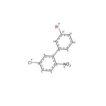 O=[N+]([O-])c1c[c]c(Cl)cc1-c1cccc(Br)c1